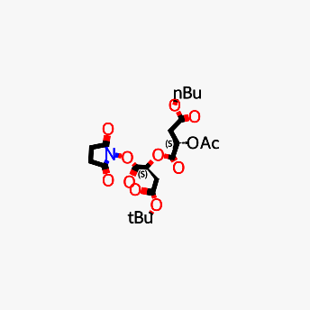 CCCCOC(=O)C[C@H](OC(C)=O)C(=O)O[C@@H](CC(=O)OC(C)(C)C)C(=O)ON1C(=O)CCC1=O